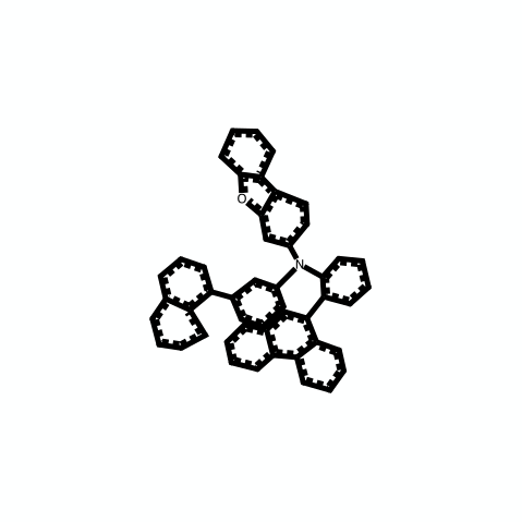 c1cc(-c2cccc3ccccc23)cc(N(c2ccc3c(c2)oc2ccccc23)c2ccccc2-c2cc3ccccc3c3ccccc23)c1